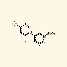 CNc1cccc(-c2ccc(C(F)(F)F)cc2C)c1